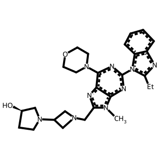 CCc1nc2ccccc2n1-c1nc(N2CCOCC2)c2nc(CN3CC(N4CC[C@@H](O)C4)C3)n(C)c2n1